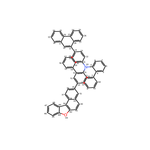 c1ccc(-c2ccccc2N(c2ccc(-c3cc4ccccc4c4ccccc34)cc2)c2ccc(-c3ccc4c(ccc5oc6ccccc6c54)c3)cc2-c2ccccc2)cc1